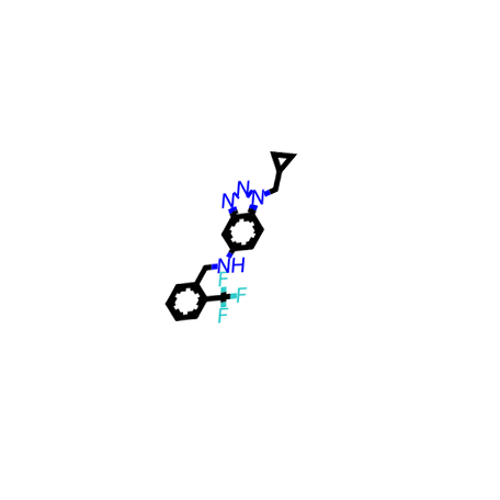 FC(F)(F)c1ccccc1CNc1ccc2c(c1)nnn2CC1CC1